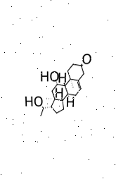 CC(O)[C@H]1CC[C@H]2[C@@H]3CC=C4CC(=O)CC[C@]4(C)[C@H]3[C@@H](O)C[C@]12C